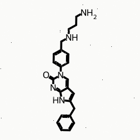 NCCCNCc1ccc(-n2cc3cc(Cc4ccccc4)[nH]c3nc2=O)cc1